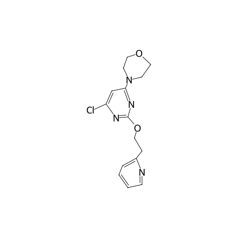 Clc1cc(N2CCOCC2)nc(OCCc2ccccn2)n1